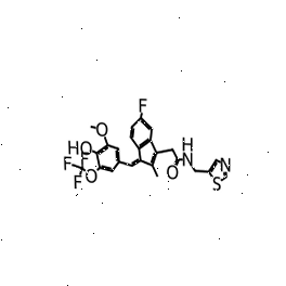 COc1cc(/C=C2/C(C)=C(CC(=O)NCc3cncs3)c3cc(F)ccc32)cc(OC(F)(F)F)c1O